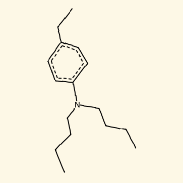 CCCCN(CCCC)c1ccc(CC)cc1